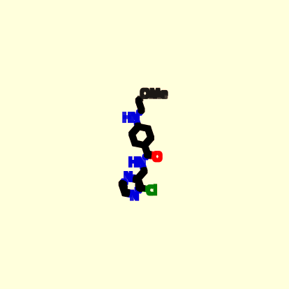 COCCNC1CCC(C(=O)NCc2nccnc2Cl)CC1